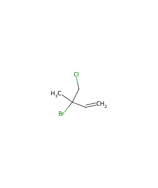 C=CC(C)(Br)CCl